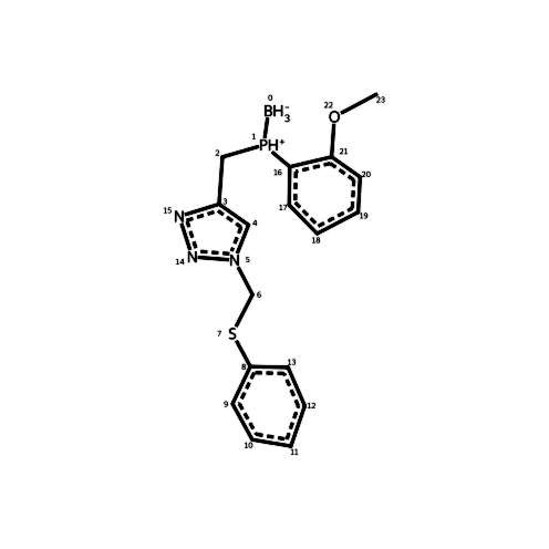 [BH3-][PH+](Cc1cn(CSc2ccccc2)nn1)c1ccccc1OC